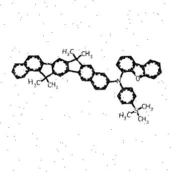 CC1(C)c2cc3c(cc2-c2cc4ccc(N(c5ccc([Si](C)(C)C)cc5)c5cccc6c5oc5ccccc56)cc4cc21)C(C)(C)c1c-3ccc2ccccc12